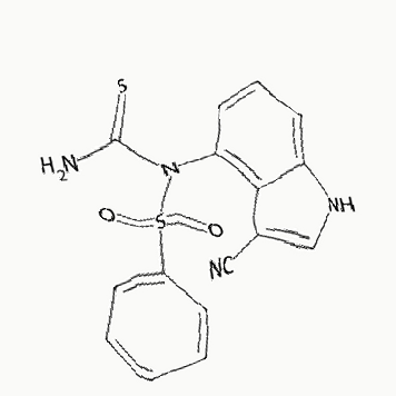 N#Cc1c[nH]c2cccc(N(C(N)=S)S(=O)(=O)c3ccccc3)c12